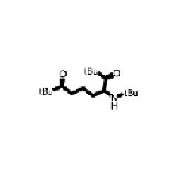 CC(C)(C)NC(CCCC(=O)C(C)(C)C)C(=O)C(C)(C)C